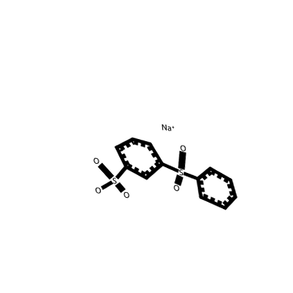 O=S(=O)([O-])c1cccc(S(=O)(=O)c2ccccc2)c1.[Na+]